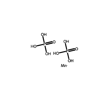 O=P(O)(O)O.O=P(O)(O)O.[Mn]